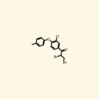 Cc1ccc(Oc2ccc(C(=O)C(Br)CC(C)C)cc2Cl)cc1